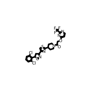 O=C(COc1ccnc(C(F)(F)F)n1)N1CCC(c2nc(C3=NOC(c4c(Cl)cccc4Cl)C3)cs2)CC1